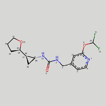 O=C(NCc1ccnc(OC(F)F)c1)N[C@@H]1C[C@H]1[C@H]1CCCO1